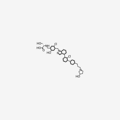 O=C(O)[C@H](CO)NCc1cc(Cl)c(Cn2ncc3c(-c4cccc(-c5ccc(CCCN6CC[C@@H](O)C6)cc5)c4Cl)cccc32)cc1O